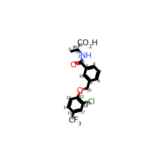 C[C@@H](NC(=O)c1cccc(COc2ccc(C(F)(F)F)cc2Cl)c1)C(=O)O